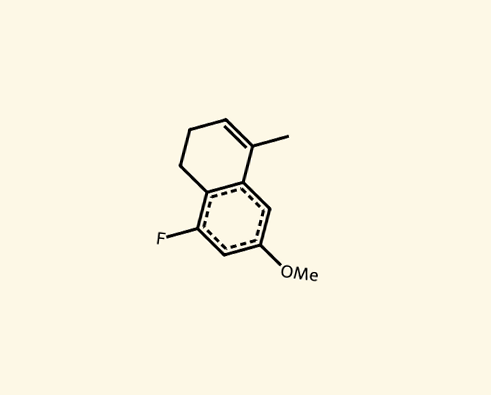 COc1cc(F)c2c(c1)C(C)=CCC2